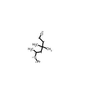 CC(C)OC(C)CC(C)(C)CCCl